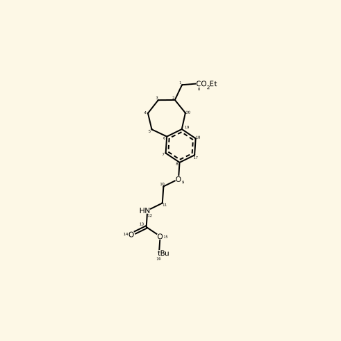 CCOC(=O)CC1CCCc2cc(OCCNC(=O)OC(C)(C)C)ccc2C1